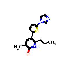 CCCc1[nH]c(=O)c(C)cc1-c1ccc(-n2ccnc2)s1